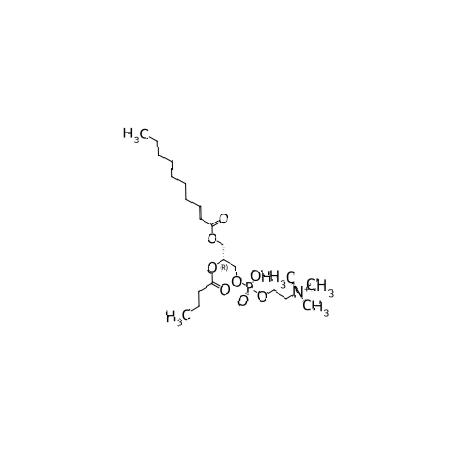 CCCCCCCCCC(=O)OC[C@H](COP(=O)(O)OCC[N+](C)(C)C)OC(=O)CCC